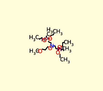 CCCO[PH](CC)(CCN(CC[PH](CC)(OCCC)OCCC)OCCCOC)OCCC